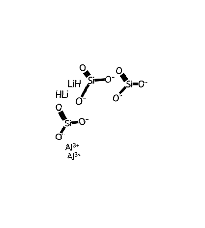 O=[Si]([O-])[O-].O=[Si]([O-])[O-].O=[Si]([O-])[O-].[Al+3].[Al+3].[LiH].[LiH]